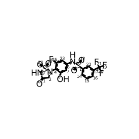 O=C1CN(c2c(O)cc(NS(=O)(=O)c3cccc(C(F)(F)F)c3)cc2F)S(=O)(=O)N1